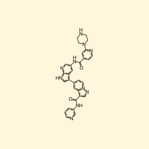 O=C(Nc1cnc2[nH]cc(-c3ccn4ncc(C(=O)Nc5cccnc5)c4c3)c2c1)c1ccnc(N2CCNCC2)c1